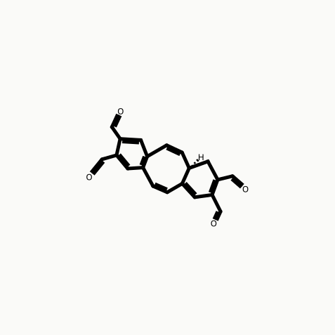 O=CC1=C(C=O)C[C@@H]2/C=C\c3cc(C=O)c(C=O)cc3/C=C\C2=C1